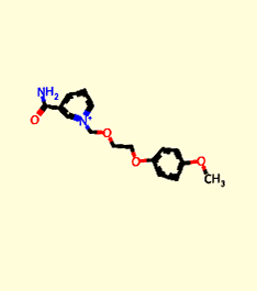 COc1ccc(OCCOC[n+]2cccc(C(N)=O)c2)cc1